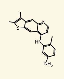 Cc1ccc(N)cc1Nc1ccnc2cc3c(C)c(C)sc3cc12